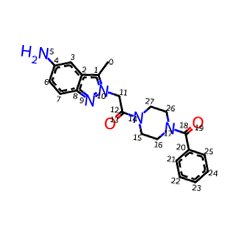 Cc1c2cc(N)ccc2nn1CC(=O)N1CCN(C(=O)c2ccccc2)CC1